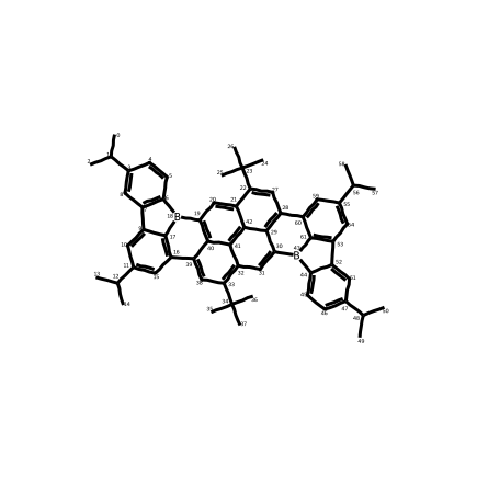 CC(C)c1ccc2c(c1)-c1cc(C(C)C)cc3c1B2c1cc2c(C(C)(C)C)cc4c5c(cc6c(C(C)(C)C)cc-3c1c6c25)B1c2ccc(C(C)C)cc2-c2cc(C(C)C)cc-4c21